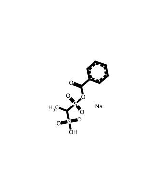 CC(S(=O)(=O)O)S(=O)(=O)OC(=O)c1ccccc1.[Na]